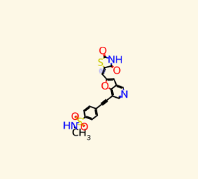 CNS(=O)(=O)c1ccc(C#Cc2cncc3cc(/C=C4/SC(=O)NC4=O)oc23)cc1